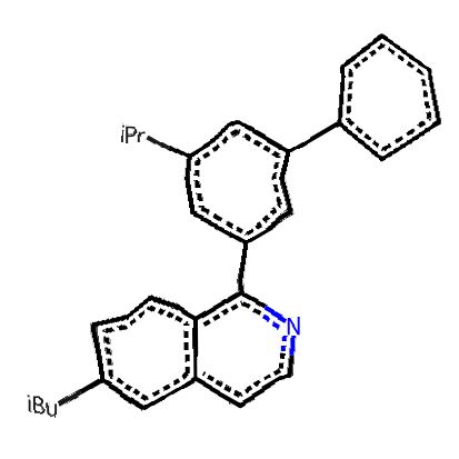 CCC(C)c1ccc2c(-c3cc(-c4ccccc4)cc(C(C)C)c3)nccc2c1